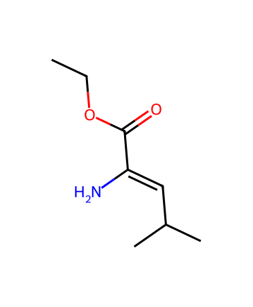 CCOC(=O)C(N)=CC(C)C